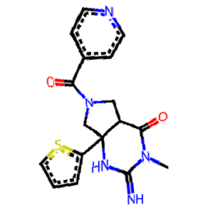 CN1C(=N)NC2(c3cccs3)CN(C(=O)c3ccncc3)CC2C1=O